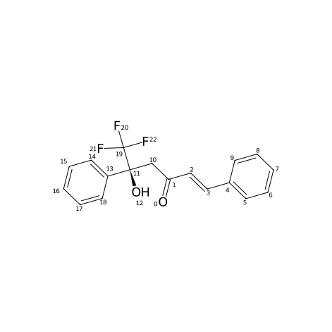 O=C(/C=C/c1ccccc1)C[C@](O)(c1ccccc1)C(F)(F)F